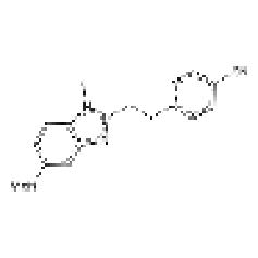 CNc1ccc2c(c1)nc(CCc1ccc(C#N)cc1)n2C